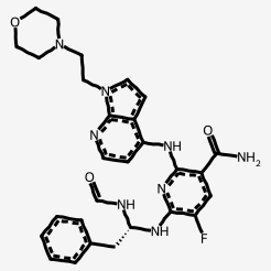 NC(=O)c1cc(F)c(N[C@H](Cc2ccccc2)NC=O)nc1Nc1ccnc2c1ccn2CCN1CCOCC1